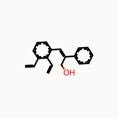 C=Cc1cccc(C=C(CO)c2ccccc2)c1C=C